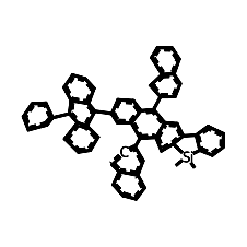 C[Si]1(C)c2ccccc2-c2cc3c(-c4ccc5ccccc5c4)c4ccc(-c5c6ccccc6c(-c6ccccc6)c6ccccc56)cc4c(-c4ccc5ccccc5c4)c3cc21